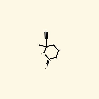 C#CC1(C)CCCS(=O)O1